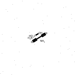 N.N.N#CC#N.O=C(O)O